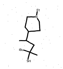 CCC(C)C(C)(S)CC(C)C1CCN(CC)CC1